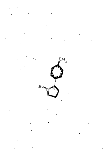 Cc1ccc([C@@H]2CCCN2C(C)(C)C)cc1